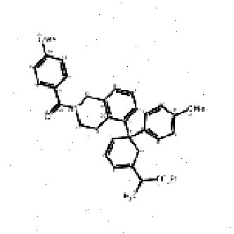 CCOC(=O)C(C)C1=CC=CC(c2ccc(OC)cc2)(c2cccc3c2CCN(C(=O)c2ccc(OC)cc2)C3)C1